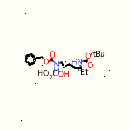 CC[C@@H](CCCCNC(=O)OCc1ccccc1)NC(=O)OC(C)(C)C.O=C(O)O